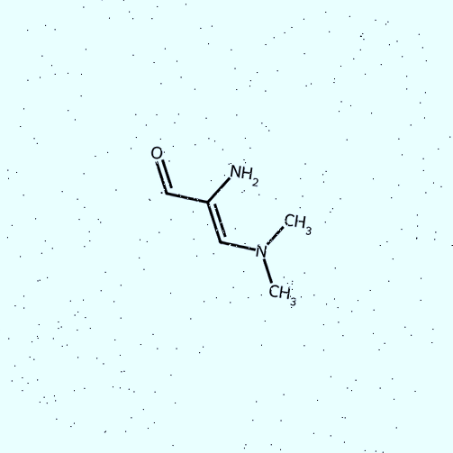 CN(C)C=C(N)[C]=O